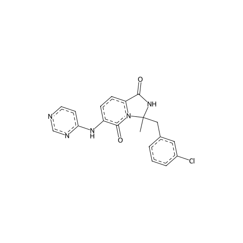 CC1(Cc2cccc(Cl)c2)NC(=O)c2ccc(Nc3ccncn3)c(=O)n21